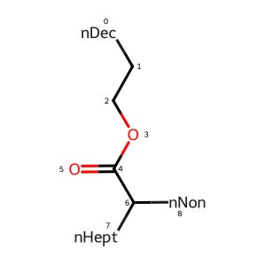 CCCCCCCCCCCCOC(=O)C(CCCCCCC)CCCCCCCCC